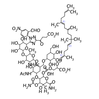 C=C(C/C=C(\C)CCC=C(C)C)CCC(C)(C)/C=C/CC/C(C)=C/COC(COP(=O)(O)OC1OC(C(N)=O)C(C)(O)C(OC(N)=O)C1OC1CC(COC2CC(CO)C(O)C(O)C2O)C(OC2OC(C)C(OC3OC(c4nc(C(=O)CCC(=O)O)nn4-c4ccc([N+](=O)[O-])cc4C=O)C(O)C(O)C3O)C(O)C2NC(C)=O)C(O)C1NC(C)=O)C(=O)O